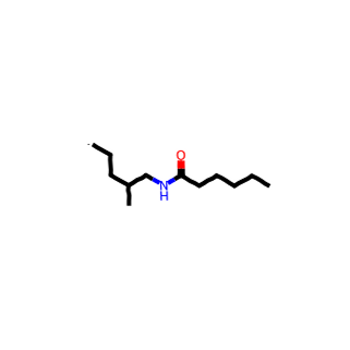 [CH2]CCC(C)CNC(=O)CCCCC